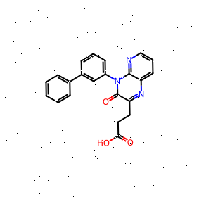 O=C(O)CCc1nc2cccnc2n(-c2cccc(-c3ccccc3)c2)c1=O